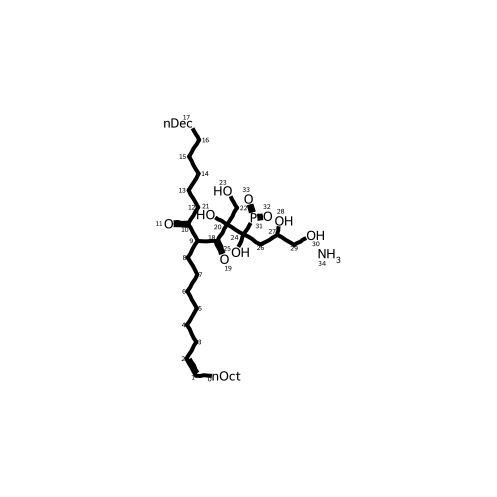 CCCCCCCC/C=C\CCCCCCC(C(=O)CCCCCCCCCCCCCCC)C(=O)C(O)(CO)C(O)(CC(O)CO)P(=O)=O.N